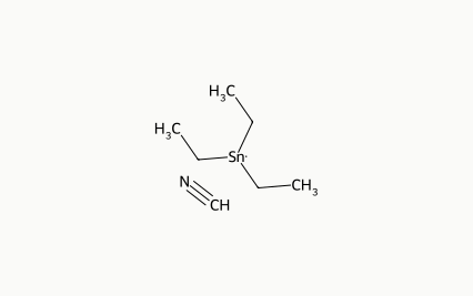 C#N.C[CH2][Sn]([CH2]C)[CH2]C